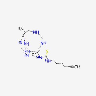 C#CCCCCNC(=S)NC12CNCCNCC(C)(CNCCNC1)CNCCNC2